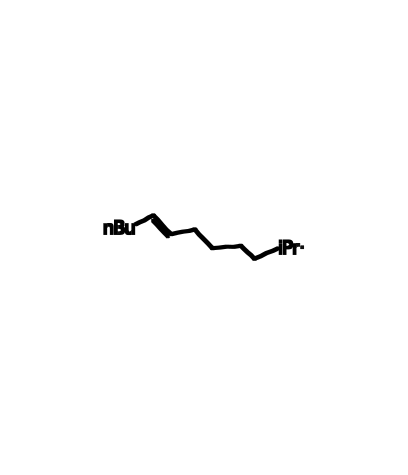 CCCCC=CCCCC[C](C)C